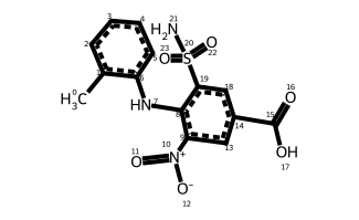 Cc1ccccc1Nc1c([N+](=O)[O-])cc(C(=O)O)cc1S(N)(=O)=O